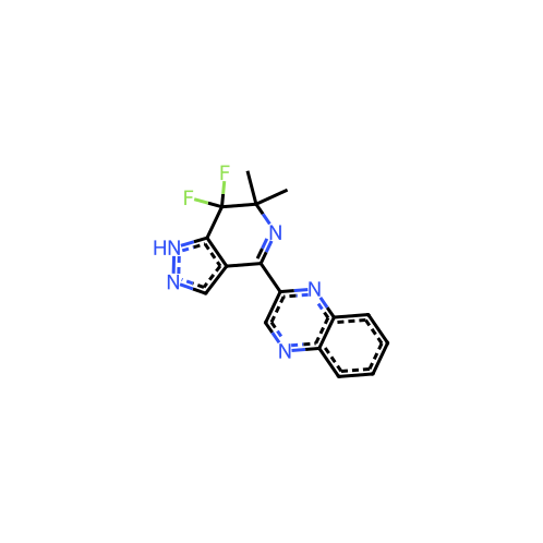 CC1(C)N=C(c2cnc3ccccc3n2)c2cn[nH]c2C1(F)F